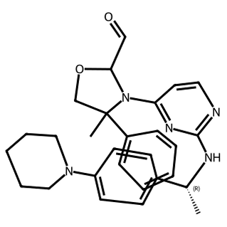 C[C@@H](Nc1nccc(N2C(C=O)OCC2(C)c2ccccc2)n1)c1ccc(N2CCCCC2)cc1